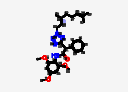 COc1cc(OC)c(NC(=O)C(c2ccccc2)c2nnn(C/C=C(\C)CCC=C(C)C)n2)c(OC)c1